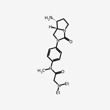 CCN(CC)CC(=O)N(C)c1ccc(N2C[C@@H]3[C@H](N)CCN3C2=O)cc1